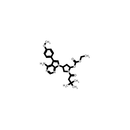 CCOC(=O)OC1CC(n2cc(-c3ccc(OC)cc3)c3c(N)ncnc32)CN1C(=O)CC(C)(C)C